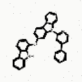 c1ccc(-c2ccnc(-n3c4ccccc4c4ccc(Oc5cccc6c5[nH]c5ccccc56)cc43)c2)cc1